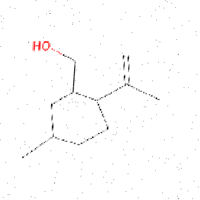 C=C(C)C1CCC(C)CC1CO